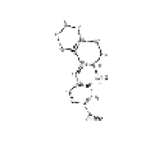 COc1ccc(C=C2C3=C(CCCC3)CCN2C=O)cc1